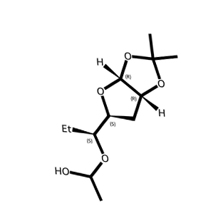 CC[C@H](OC(C)O)[C@@H]1C[C@H]2OC(C)(C)O[C@H]2O1